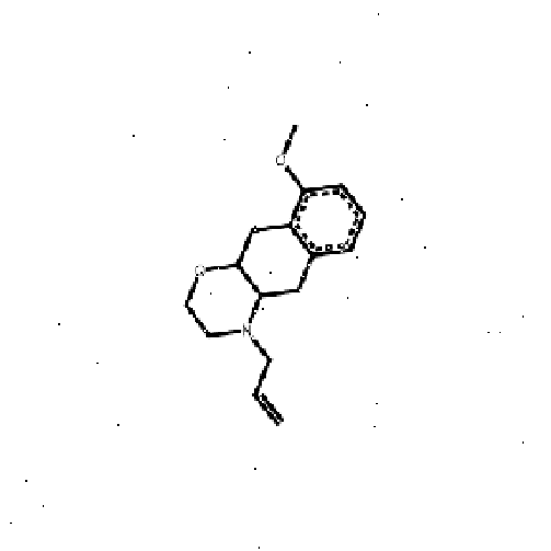 C=CCN1CCOC2Cc3c(cccc3OC)CC21